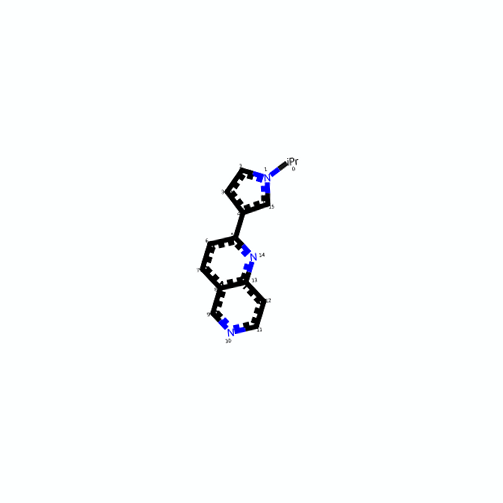 CC(C)n1ccc(-c2ccc3cnccc3n2)c1